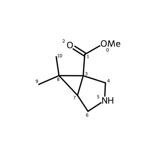 COC(=O)C12CNCC1C2(C)C